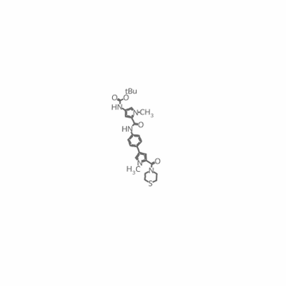 Cn1cc(NC(=O)OC(C)(C)C)cc1C(=O)Nc1ccc(-c2cc(C(=O)N3CCSCC3)n(C)c2)cc1